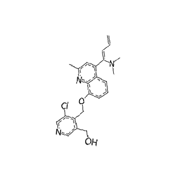 C=C/C=C(/c1cc(C)nc2c(OCc3c(Cl)cncc3CO)cccc12)N(C)C